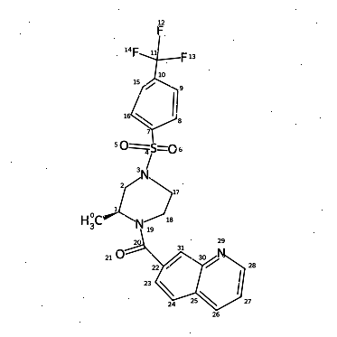 C[C@H]1CN(S(=O)(=O)c2ccc(C(F)(F)F)cc2)CCN1C(=O)c1ccc2cccnc2c1